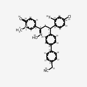 Cn1cc(C(CC(c2ccc(-c3ccc(CC#N)cc3)cc2)c2ccc(Cl)cc2F)=NO)ccc1=O